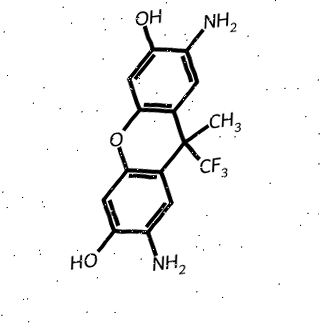 CC1(C(F)(F)F)c2cc(N)c(O)cc2Oc2cc(O)c(N)cc21